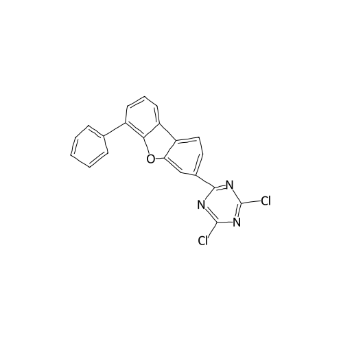 Clc1nc(Cl)nc(-c2ccc3c(c2)oc2c(-c4ccccc4)cccc23)n1